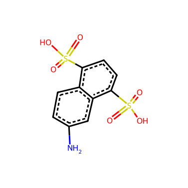 Nc1ccc2c(S(=O)(=O)O)ccc(S(=O)(=O)O)c2c1